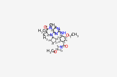 CCOc1cc(C(=O)N2CC(OC)C2)ccc1Nc1ncc2c(n1)N(C1CCCC1)CC(C)(C)C(=O)N2C